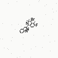 Cc1c(F)ccc2c1C(Br)C(C)(C)N=C2c1cc2ccccc2nn1